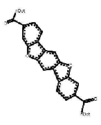 CCCCCCCCC(=O)c1ccc2c(c1)oc1cc3c(cc12)oc1cc(C(=O)CCCCCCCC)ccc13